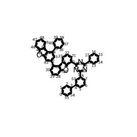 c1ccc(-c2cccc(-c3nc(-c4ccccc4)nc(-c4cccc5c4oc4cccc(-c6cc(-c7ccccc7)c7c(c6)oc6ccccc67)c45)n3)c2)cc1